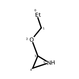 CCCOC1CN1